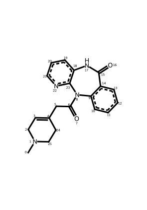 CN1CC=C(CC(=O)N2c3ccccc3C(=O)Nc3cccnc32)CC1